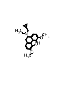 CCN(CC1CC1)[C@H]1Cc2ccc(OC)c3c2C2C1=CC=C(OC)[C@H]2O3